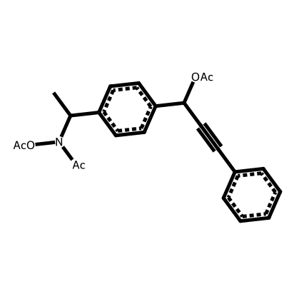 CC(=O)OC(C#Cc1ccccc1)c1ccc(C(C)N(OC(C)=O)C(C)=O)cc1